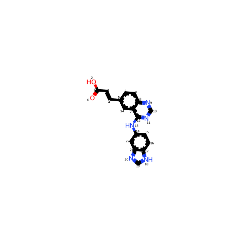 O=C(O)C=Cc1ccc2ncnc(Nc3ccc4[nH]cnc4c3)c2c1